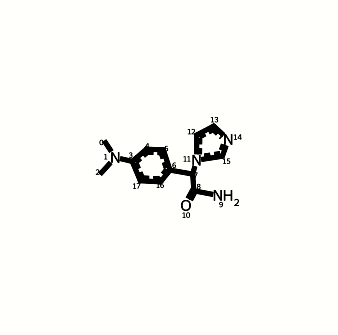 CN(C)c1ccc(C(C(N)=O)n2ccnc2)cc1